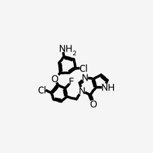 Nc1cc(Cl)cc(Oc2c(Cl)ccc(Cn3cnc4cc[nH]c4c3=O)c2F)c1